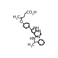 CC(Nc1ncnc2[nH]c(-c3ccc(O[C@H](C)CCC(=O)O)cc3)cc12)c1ccccc1